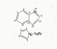 CCCn1cccc1.c1ccc2ncccc2c1